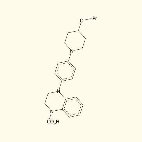 CC(C)OC1CCN(c2ccc(N3CCN(C(=O)O)c4ccccc43)cc2)CC1